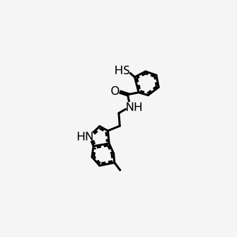 Cc1ccc2[nH]cc(CCNC(=O)c3ccccc3S)c2c1